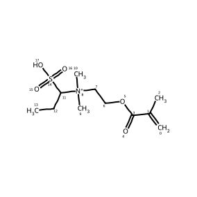 C=C(C)C(=O)OCC[N+](C)(C)C(CC)S(=O)(=O)O